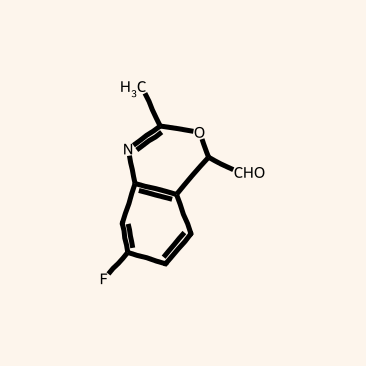 CC1=Nc2cc(F)ccc2C(C=O)O1